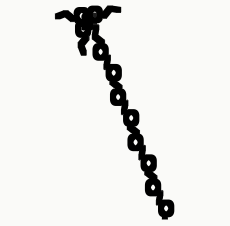 CCCO[Si](CCCOCCOCCOCCOCCOCCOCCOCCOC)(OCCC)OCCC